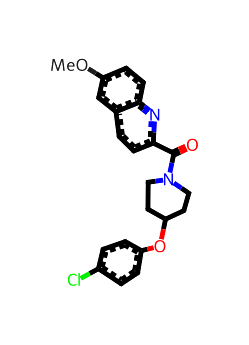 COc1ccc2nc(C(=O)N3CCC(Oc4ccc(Cl)cc4)CC3)ccc2c1